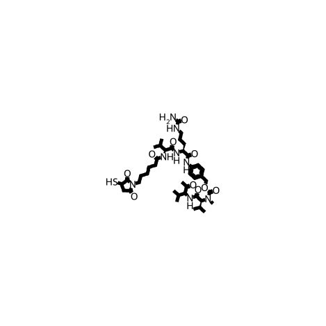 CC(=O)C(NC(=O)[C@H](C(C)C)N(C)C(=O)OCc1ccc(NC(=O)[C@H](CCCNC(N)=O)NC(=O)[C@@H](NC(=O)CCCCCN2C(=O)CC(S)C2=O)C(C)C)cc1)C(C)C